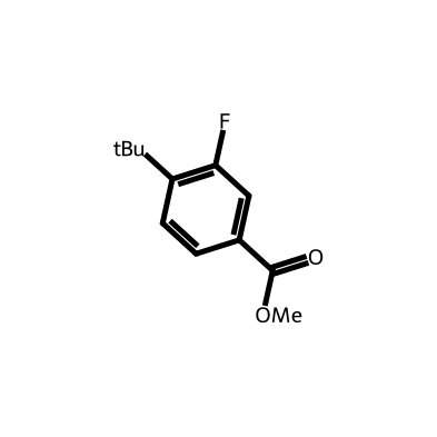 COC(=O)c1ccc(C(C)(C)C)c(F)c1